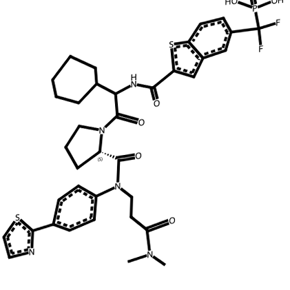 CN(C)C(=O)CCN(C(=O)[C@@H]1CCCN1C(=O)C(NC(=O)c1cc2cc(C(F)(F)P(=O)(O)O)ccc2s1)C1CCCCC1)c1ccc(-c2nccs2)cc1